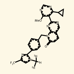 [2H]C([2H])([2H])n1cc(C(F)(F)F)nc1-c1ccc(Cn2c(=O)ccc3cnc(-c4c(OC)ncnc4C4CC4)nc32)cc1